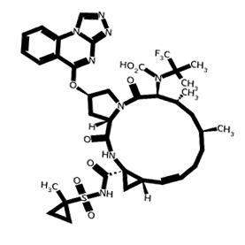 C[C@H]1CCC=C[C@@H]2C[C@@]2(C(=O)NS(=O)(=O)C2(C)CC2)NC(=O)[C@@H]2C[C@@H](Oc3nc4nncn4c4ccccc34)CN2C(=O)[C@@H](N(C(=O)O)C(C)(C)C(F)(F)F)[C@H](C)C1